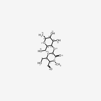 COC(C=O)C(CO)OC(C=O)OC1C(CO)O[C@@H](C)C(O)C1O